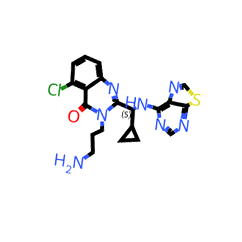 NCCCn1c([C@@H](Nc2ncnc3scnc23)C2CC2)nc2cccc(Cl)c2c1=O